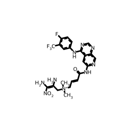 C[N+](C)(C/C=C/C(=O)Nc1cc2c(Nc3ccc(F)c(C(F)(F)F)c3)ncnc2cn1)C/C(N)=C(/N)[N+](=O)[O-]